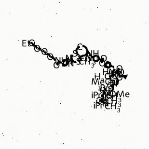 CCOCCOCCOCCOCCNC(=O)c1ccc2nc3c(nc2c1)CSC1CCCCCCC(NC(=O)C2CCN(C(=O)Oc4ccc(C[C@H](NC(=O)[C@H](C)[C@@H](OC)[C@@H]5CCCN5C(=O)C[C@@H](OC)[C@H]([C@@H](C)CC)N(C)C(=O)[C@@H](NC(=O)[C@H](C(C)C)N(C)C)C(C)C)C(=O)NS(=O)(=O)C5CC5)cc4)CC2)CCC1C(C)(C)SC3